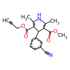 C#CCOC(=O)C1=C(C)NC(C)=C(C(=O)OC)C1c1cccc(C#N)c1